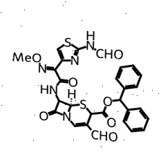 CON=C(C(=O)NC1C(=O)N2C=C(C=O)C(C(=O)OC(c3ccccc3)c3ccccc3)S[C@H]12)c1csc(NC=O)n1